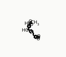 CS(=O)(=O)Nc1ccc(C(O)C2CCN(CCc3ccc4c(c3)OCO4)CC2)cc1